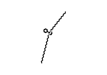 CCCCCCCCCCCCCCCCCCn1cc[n+](CCCCCCCCCCCCCCC)c1-c1ccccc1